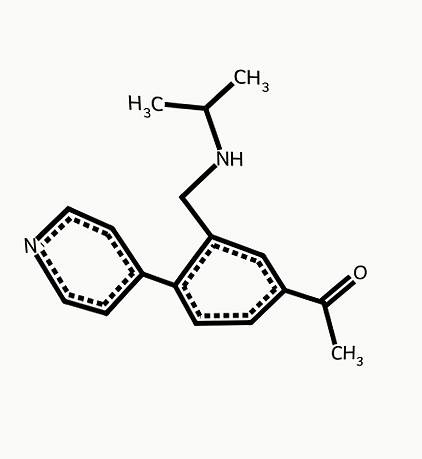 CC(=O)c1ccc(-c2ccncc2)c(CNC(C)C)c1